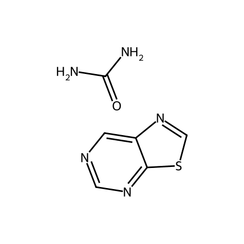 NC(N)=O.c1ncc2ncsc2n1